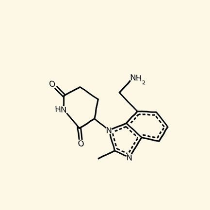 Cc1nc2cccc(CN)c2n1C1CCC(=O)NC1=O